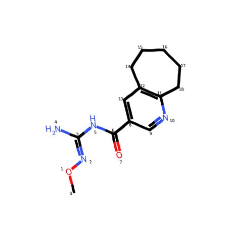 CON=C(N)NC(=O)c1cnc2c(c1)CCCCC2